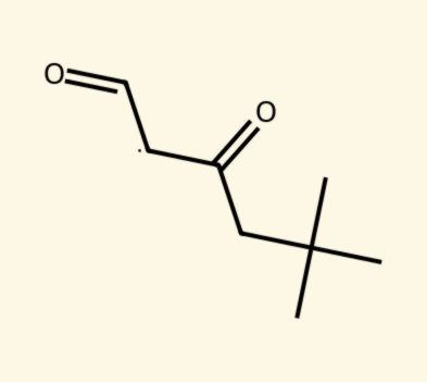 CC(C)(C)CC(=O)[CH]C=O